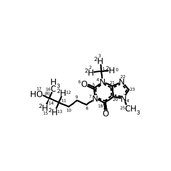 [2H]C([2H])([2H])n1c(=O)n(CCCC([2H])([2H])[C@@]([2H])(C)O)c(=O)c2c1ncn2C